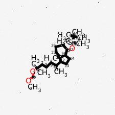 COCOC(C)(C)CCC[C@H](C)C1CCC2[C@@H](O[Si](C)(C)C(C)(C)C)CCCC21C